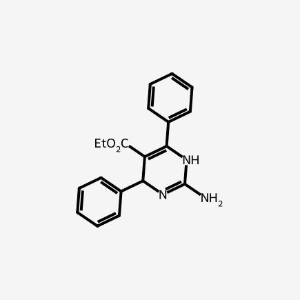 CCOC(=O)C1=C(c2ccccc2)NC(N)=NC1c1ccccc1